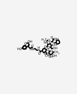 CCC1CC(C(=O)NCCNC(=O)CC2=CC(O)Oc3cc(O)ccc32)C[C@@H](O[C@@H]2OC(CO)[C@H](O)C(O[C@@H](CC3CCCCC3)C(=O)O)C2NC(C)=O)C1OC1O[C@@H](C)C(O)C(O)[C@@H]1O